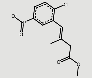 COC(=O)C/C(C)=C/c1cc([N+](=O)[O-])ccc1Cl